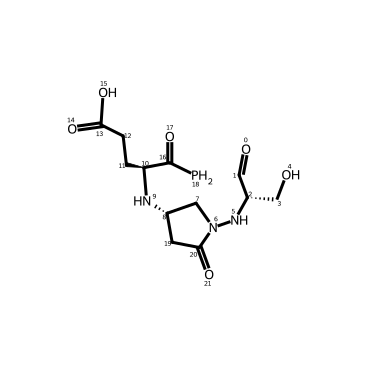 O=C[C@H](CO)NN1C[C@@H](N[C@@H](CCC(=O)O)C(=O)P)CC1=O